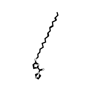 CC/C=C/C/C=C/C/C=C/CCCCCCCCOc1ccc(C(=O)n2ccnc2)s1